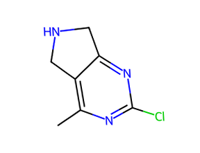 Cc1nc(Cl)nc2c1CNC2